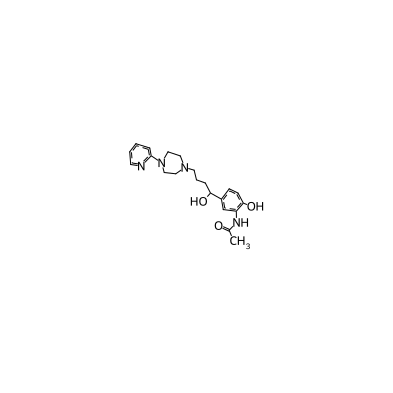 CC(=O)Nc1cc(C(O)CCCN2CCN(c3ccccn3)CC2)ccc1O